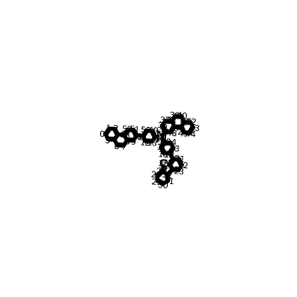 c1ccc2c(c1)ccc1cc(-c3ccc(N(c4ccc(-c5cccc6c5sc5ccccc56)cc4)c4ccc5ccc6ccccc6c5c4)cc3)ccc12